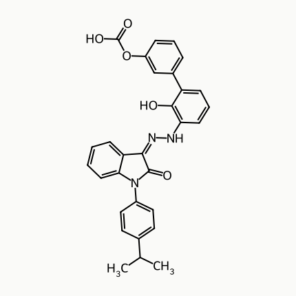 CC(C)c1ccc(N2C(=O)C(=NNc3cccc(-c4cccc(OC(=O)O)c4)c3O)c3ccccc32)cc1